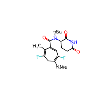 CCCCN(C(=O)C1=CC(F)=C(NC)CC(F)=C1C)C1CCC(=O)NC1=O